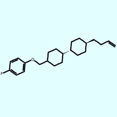 C=CCC[C@H]1CC[C@H](C2CCC(COc3ccc(F)cc3)CC2)CC1